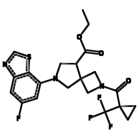 CCOC(=O)C1CN(c2cc(F)cc3ncsc23)CC12CN(C(=O)C1(C(F)(F)F)CC1)C2